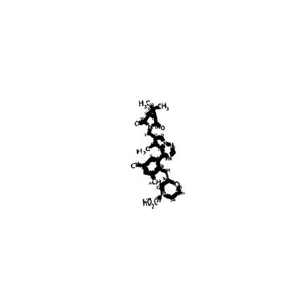 Cc1cc(Cl)cc(-c2ncnn3cc(CN4C(=O)C5C(C4=O)C5(C)C)c(C)c23)c1C[C@@H]1CN(C(=O)O)CCO1